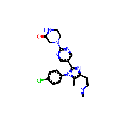 C=N/C=C\c1nc(-c2cnc(N3CCNC(=O)C3)nc2)n(-c2ccc(Cl)cc2)c1C